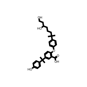 CC(C)(CCCC(O)CCO)c1ccc(Oc2ccc(C(C)(C)c3ccc(O)cc3)cc2C(=O)O)cc1